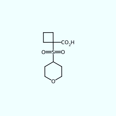 O=C(O)C1(S(=O)(=O)C2CCOCC2)CCC1